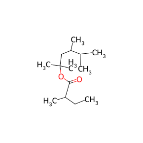 CCC(C)C(=O)OC(C)(C)CC(C)C(C)C